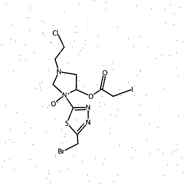 O=C(CI)OC1CN(CCCl)C[N+]1([O-])c1nnc(CBr)s1